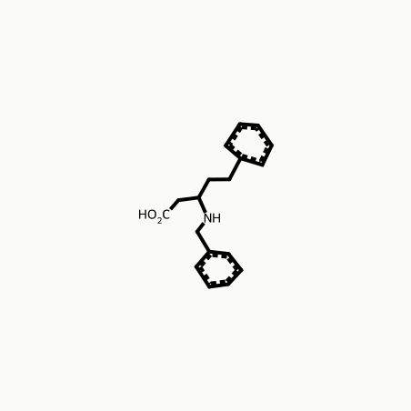 O=C(O)CC(CCc1ccccc1)NCc1ccccc1